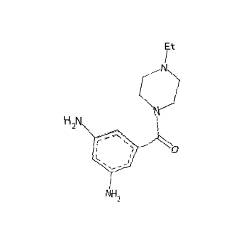 CCN1CCN(C(=O)c2cc(N)cc(N)c2)CC1